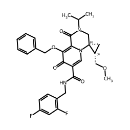 COC[C@H]1C[C@]12CN(C(C)C)C(=O)c1c(OCc3ccccc3)c(=O)c(C(=O)NCc3ccc(F)cc3F)cn12